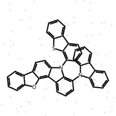 c1ccc2c(c1)oc1c2ccc2c1c1cccc(-n3c4ccccc4c4ccccc43)c1n2-c1cccc2c1sc1ccccc12